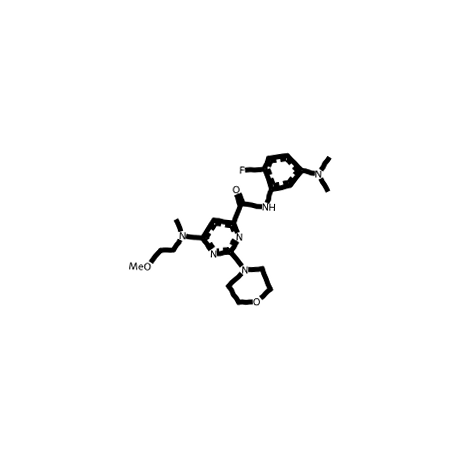 COCCN(C)c1cc(C(=O)Nc2cc(N(C)C)ccc2F)nc(N2CCOCC2)n1